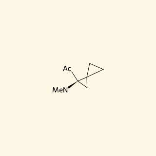 CN[C@]1(C(C)=O)CC12CC2